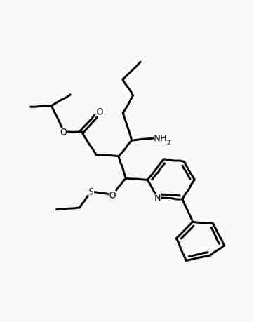 CCCCC(N)C(CC(=O)OC(C)C)C(OSCC)c1cccc(-c2ccccc2)n1